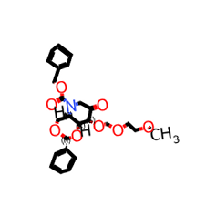 COCCOCO[C@@H]1C(=O)CN(C(=O)OCc2ccccc2)[C@H]2CO[C@@H](c3ccccc3)O[C@@H]12